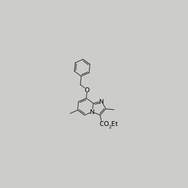 CCOC(=O)c1c(C)nc2c(OCc3ccccc3)cc(C)cn12